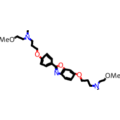 COCCN(C)CCCOc1ccc(-c2nc3ccc(OCCCN(C)CCOC)cc3o2)cc1